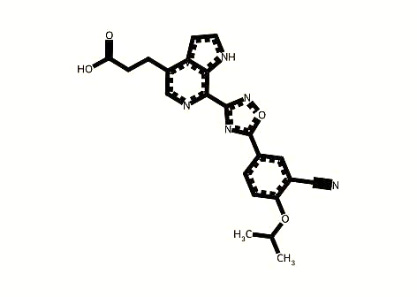 CC(C)Oc1ccc(-c2nc(-c3ncc(CCC(=O)O)c4cc[nH]c34)no2)cc1C#N